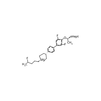 CCCCCCC[C@@H](C)Oc1c(F)cc(-c2ccc([C@H]3CC[Si@H](CCCC(C)F)CC3)cc2)cc1F